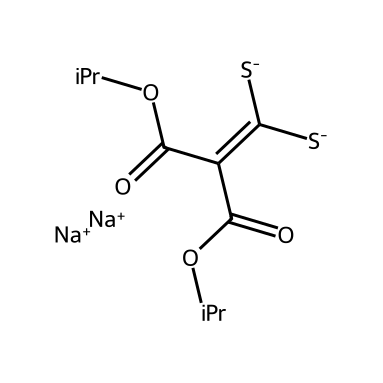 CC(C)OC(=O)C(C(=O)OC(C)C)=C([S-])[S-].[Na+].[Na+]